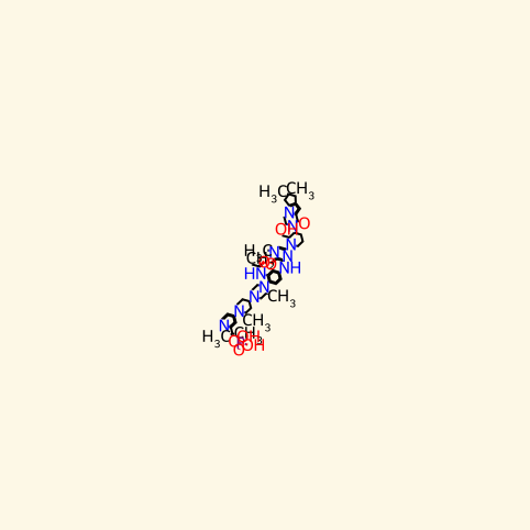 C=CC(=O)Nc1cc(Nc2nc(N3CCCC(N4CCn5c(cc6c5CC(C)(C)C6)C4=O)C3CO)cn(C)c2=O)ccc1N1CCN(C2CCN(c3ccnc(C(C)(C)OP(=O)(O)O)c3)[C@@H](C)C2)C[C@@H]1C